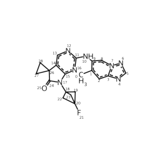 Cc1cc2ncnn2cc1Nc1ncc2c(n1)N(C13CC(F)(C1)C3)C(=O)C21CC1